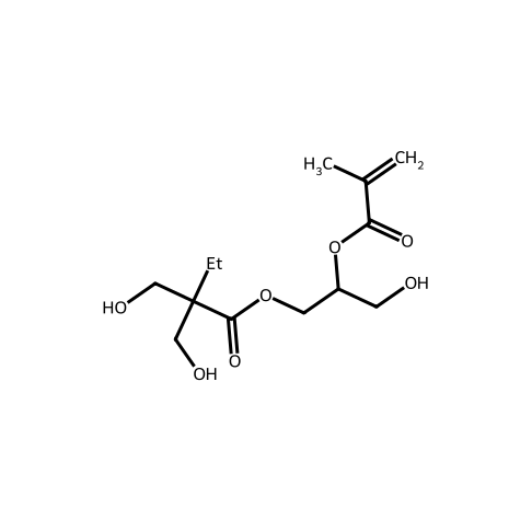 C=C(C)C(=O)OC(CO)COC(=O)C(CC)(CO)CO